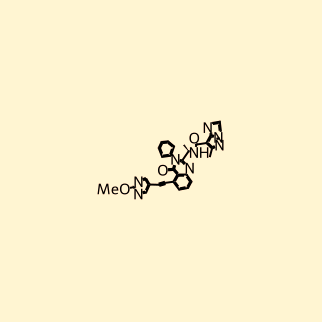 COc1ncc(C#Cc2cccc3nc([C@@H](C)NC(=O)c4c(C)nn5cccnc45)n(-c4ccccc4)c(=O)c23)cn1